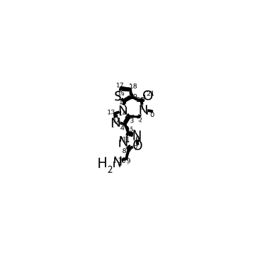 CN1Cc2c(-c3noc(CN)n3)ncn2-c2sccc2C1=O